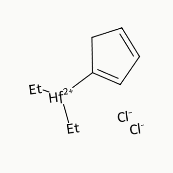 C[CH2][Hf+2]([CH2]C)[C]1=CC=CC1.[Cl-].[Cl-]